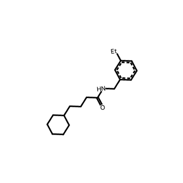 CCc1cccc(CNC(=O)CCCC2CCCCC2)c1